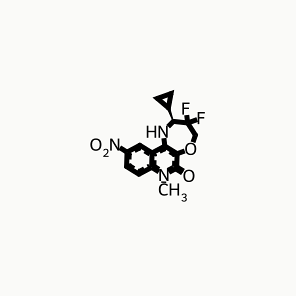 Cn1c(=O)c2c(c3cc([N+](=O)[O-])ccc31)N[C@@H](C1CC1)C(F)(F)CO2